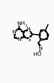 Cc1ccc(C=NO)c(-c2nc3c(N)ncnc3s2)c1